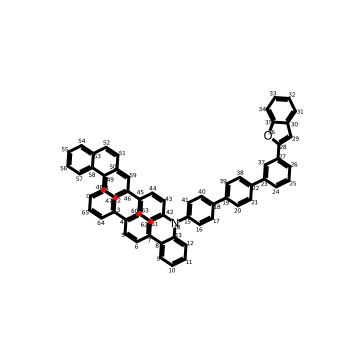 c1ccc(-c2ccc(-c3ccccc3N(c3ccc(-c4ccc(-c5cccc(-c6cc7ccccc7o6)c5)cc4)cc3)c3ccc(-c4ccc5c(ccc6ccccc65)c4)cc3)cc2)cc1